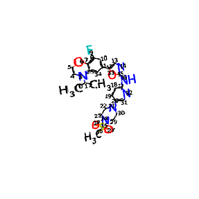 CC(C)N1CCOc2c(F)cc(-c3cnc(Nc4ccc(N5CCN(S(C)(=O)=O)CC5)cn4)o3)cc21